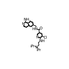 CC(C)N(CCNc1ncc(C(=O)NCc2ccc3c(N)nccc3c2)cc1Cl)C(C)C